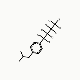 CC(C)[CH]c1ccc(C(Cl)(Cl)C(Cl)(Cl)C(Cl)(Cl)C(Cl)(Cl)Cl)cc1